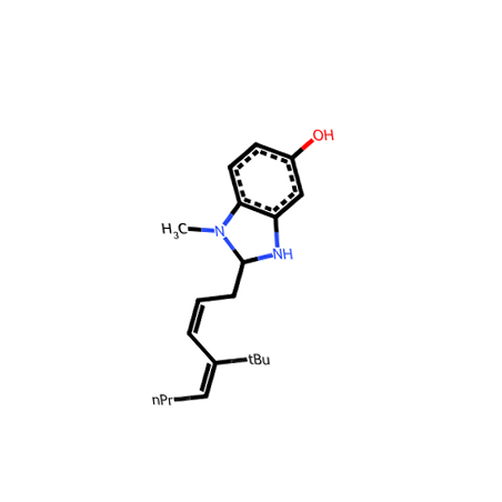 CCC/C=C(\C=C/CC1Nc2cc(O)ccc2N1C)C(C)(C)C